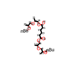 CCCCOC(C)COC(C)COC(=O)CCCCC(=O)OCC(C)OCC(C)OCCCC